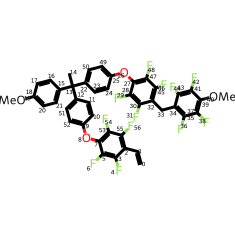 C=Cc1c(F)c(F)c(Oc2ccc(C(C)(c3ccc(OC)cc3)c3ccc(Oc4c(F)c(F)c(Cc5c(F)c(F)c(OC)c(F)c5F)c(F)c4F)cc3)cc2)c(F)c1F